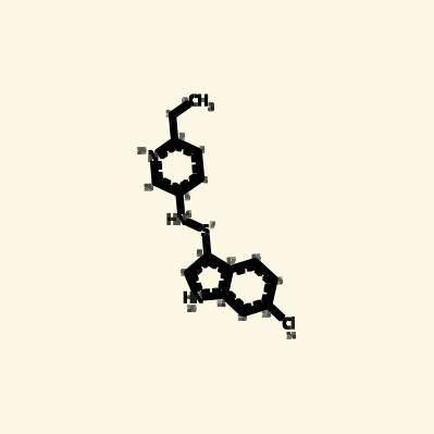 CCc1ccc(NSc2c[nH]c3cc(Cl)ccc23)cn1